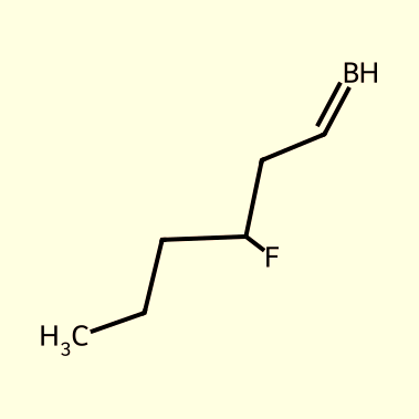 B=CCC(F)CCC